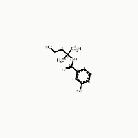 C[C@](CCC#N)(NC(=O)c1cccc(Cl)c1)C(=O)O